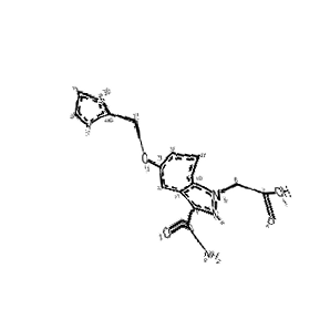 NC(=O)c1nn(CC(=O)O)c2ccc(OCc3nccs3)cc12